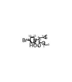 CCOC(=O)C(CC1CC1)N1C=CC(Br)=CC1O